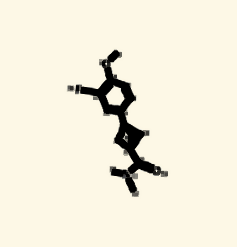 COc1ccc(C23CC(C(=O)N(C)C)(C2)C3)cc1F